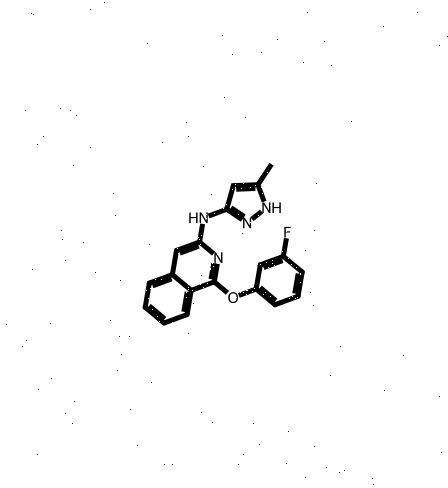 Cc1cc(Nc2cc3ccccc3c(Oc3cccc(F)c3)n2)n[nH]1